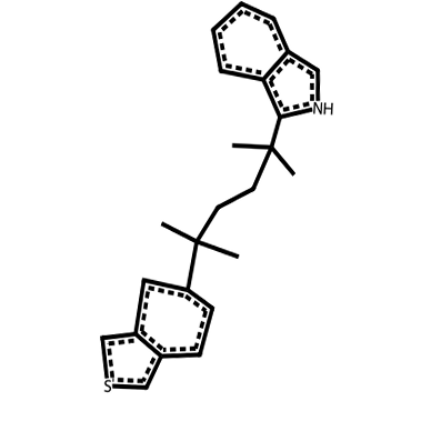 CC(C)(CCC(C)(C)c1[nH]cc2ccccc12)c1ccc2cscc2c1